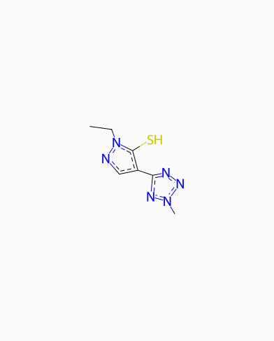 CCn1ncc(-c2nnn(C)n2)c1S